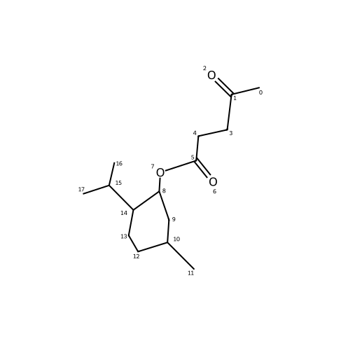 CC(=O)CCC(=O)OC1CC(C)CCC1C(C)C